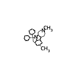 Cc1cc2c3c(c1)c1c(n3C(c3ccccc3)(c3ccccc3)C2)CCN(C)CC1